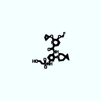 O=C(Nc1ccc(NS(=O)(=O)CCO)cc1N1CCC2(CC1)CC2)c1ccc(OCF)c(OC2CCC2)n1